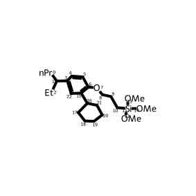 CCCC(CC)c1ccc(OCCC[Si](OC)(OC)OC)c(C2CCCCC2)c1